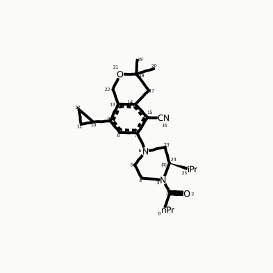 CCCC(=O)N1CCN(c2cc(C3CC3)c3c(c2C#N)CC(C)(C)OC3)C[C@H]1C(C)C